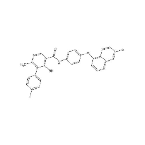 Cc1ncc(C(=O)Nc2ccc(Oc3ccnc4cc(Br)cnc34)cc2)c(O)c1-c1ccc(F)cc1